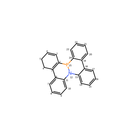 C1=CC2=C(CC1)c1ccccc1N1c3ccccc3-c3ccccc3P21